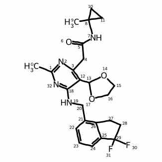 Cc1nc(CC(=O)NC2(C)CC2)c(C2OCCO2)c(NCc2cccc3c2CCC3(F)F)n1